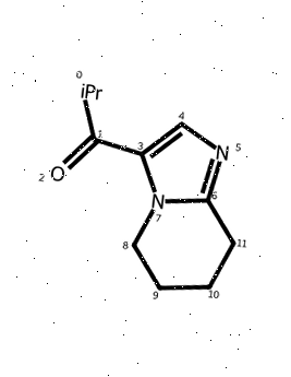 CC(C)C(=O)c1cnc2n1CCCC2